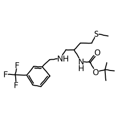 CSCCC(CNCc1cccc(C(F)(F)F)c1)NC(=O)OC(C)(C)C